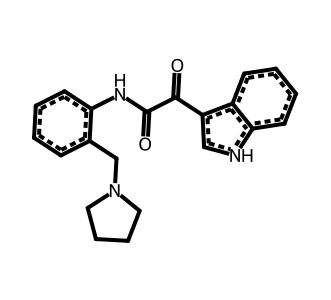 O=C(Nc1ccccc1CN1CCCC1)C(=O)c1c[nH]c2ccccc12